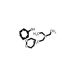 C1CCOOC1.CCN(CC)CC.Sc1ccccc1